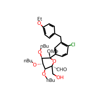 CCCCO[C@@H]1[C@@H](OCCCC)[C@](OC)(c2ccc(Cl)c(Cc3ccc(OCC)cc3)c2)O[C@@](C=O)(CO)[C@H]1OCCCC